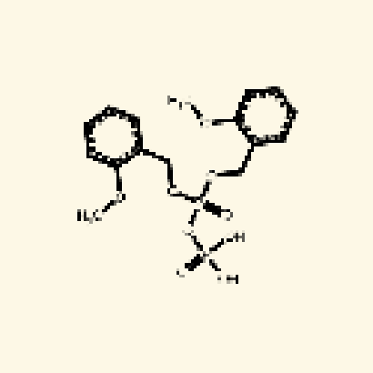 COc1ccccc1COP(=O)(OCc1ccccc1OC)OP(=O)(O)O